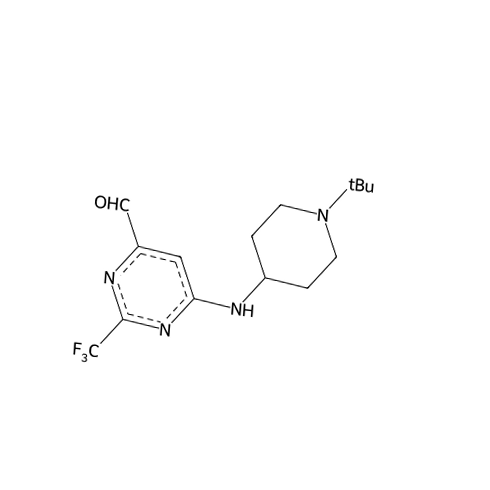 CC(C)(C)N1CCC(Nc2cc(C=O)nc(C(F)(F)F)n2)CC1